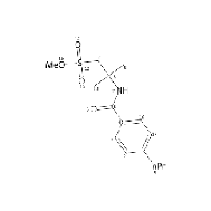 CCCc1ccc(C(=O)NC(C)(C)CS(=O)(=O)OC)cc1